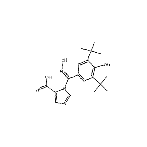 CC(C)(C)c1cc(C(=NO)n2cncc2C(=O)O)cc(C(C)(C)C)c1O